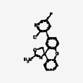 NC1=N[C@@]2(CO1)c1ccccc1Oc1ccc(-c3cc(F)cnc3Cl)cc12